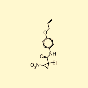 C=CCOc1ccc(NC(=O)C2(CC)CC2[N+](=O)[O-])cc1